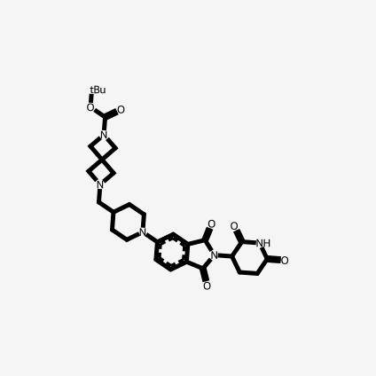 CC(C)(C)OC(=O)N1CC2(CN(CC3CCN(c4ccc5c(c4)C(=O)N(C4CCC(=O)NC4=O)C5=O)CC3)C2)C1